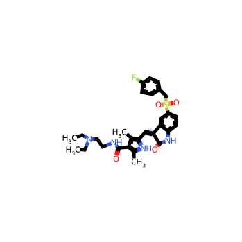 CCN(CC)CCNC(=O)c1c(C)[nH]c(/C=C2\C(=O)Nc3ccc(S(=O)(=O)Cc4ccc(F)cc4)cc32)c1C